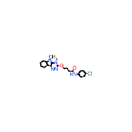 Cn1c2ccccc2c2nnc(OCCCC(=O)Nc3ccc(Cl)cc3)nc21